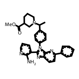 COC(=O)C1CCCN(C(C)c2ccc(-n3c(-c4cccnc4N)nc4ccc(-c5ccccc5)nc43)cc2)C1